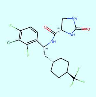 O=C1NC[C@@H](C(=O)N[C@H](C[C@H]2CC[C@H](C(F)(F)F)CC2)c2ccc(F)c(Cl)c2F)N1